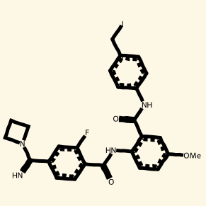 COc1ccc(NC(=O)c2ccc(C(=N)N3CCC3)cc2F)c(C(=O)Nc2ccc(CI)cc2)c1